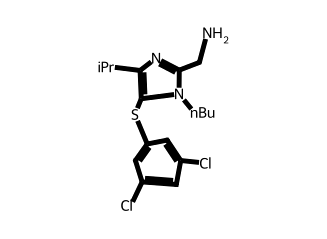 CCCCn1c(CN)nc(C(C)C)c1Sc1cc(Cl)cc(Cl)c1